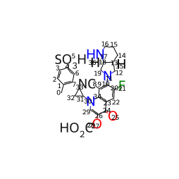 Cc1ccc(S(=O)(=O)O)cc1.N#Cc1c(N2C[C@@H]3CCCN[C@@H]3C2)c(F)cc2c(=O)c(OC(=O)O)cn(C3CC3)c12